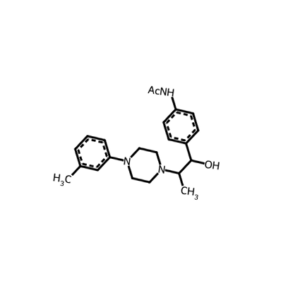 CC(=O)Nc1ccc(C(O)C(C)N2CCN(c3cccc(C)c3)CC2)cc1